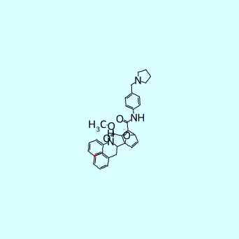 COC(=O)C1=C(C(=O)Nc2ccc(CN3CCCC3)cc2)C2C=CC1(C(Cc1ccccc1)Nc1ccccc1)O2